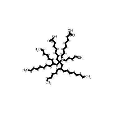 CCCCCCCCC(CCCCCC)CC(CCCCCCC(=O)O)(CC(CCCCCC)CCCCCCCC)N(CCCCO)CCCCCCCC(=O)O